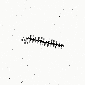 OB(O)OC(F)(F)C(F)(F)C(F)(F)C(F)(F)C(F)(F)C(F)(F)C(F)(F)C(F)(F)C(F)(F)C(F)(F)C(F)(F)C(F)(F)C(F)(F)F